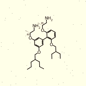 CCCC(CCC)COc1cc(O[C@H](C)CN)cc(-c2c(OCC(CC)CC)cccc2O[C@H](C)CN)c1